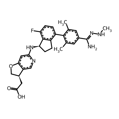 CN/N=C(\N)c1cc(C)c(-c2ccc(F)c3c2CC[C@H]3Nc2cc3c(cn2)[C@@H](CC(=O)O)CO3)c(C)c1